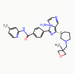 CC1(CN2CCC[C@@H](C3=C4C=NC=C[N+]4(N)C(c4ccc(C(=O)Nc5cc(C(F)(F)F)ccn5)cc4)=N3)C2)COC1